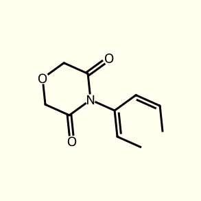 C/C=C\C(=C/C)N1C(=O)COCC1=O